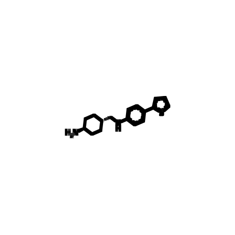 N[C@H]1CC[C@H](CNc2ccc(-c3cccs3)cc2)CC1